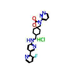 Cl.O=C1OC2(CCC(CNc3ccc(-c4ncccc4F)cn3)CC2)CN1c1cccnn1